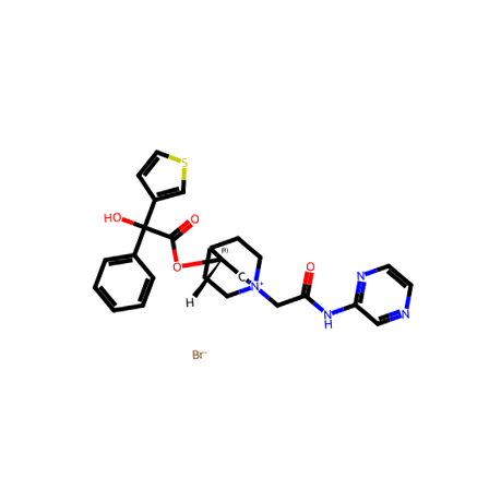 O=C(C[N+]12CCC(CC1)[C@@H](OC(=O)C(O)(c1ccccc1)c1ccsc1)C2)Nc1cnccn1.[Br-]